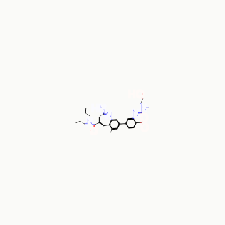 CCCN(CCC)C(=O)C1=Cc2c(C)cc(-c3ccc(C=O)c(N(C)C(=O)N(C)CCO)c3)cc2N=C(NC)C1